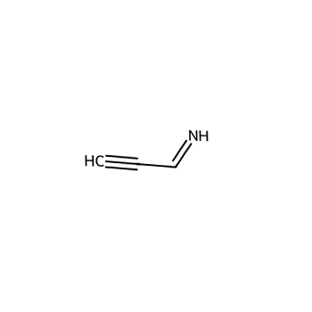 C#CC=N